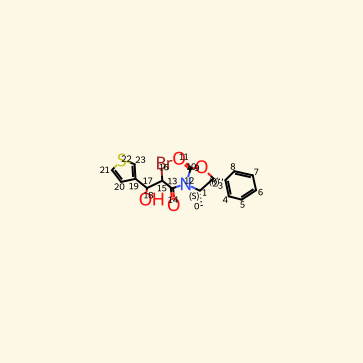 C[C@H]1[C@@H](c2ccccc2)OC(=O)N1C(=O)C(Br)C(O)c1ccsc1